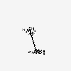 CO[Si](CCCSCCCCCCCCCCC(=O)NCCN(C)C)(OC)OC